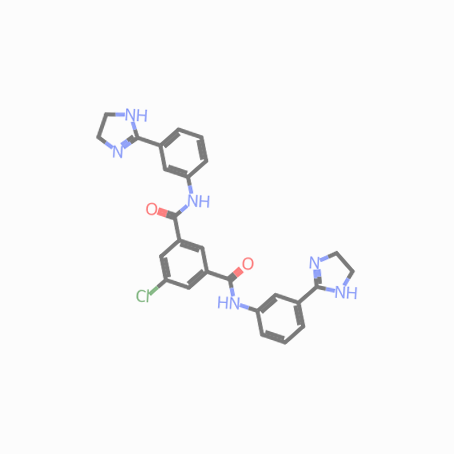 O=C(Nc1cccc(C2=NCCN2)c1)c1cc(Cl)cc(C(=O)Nc2cccc(C3=NCCN3)c2)c1